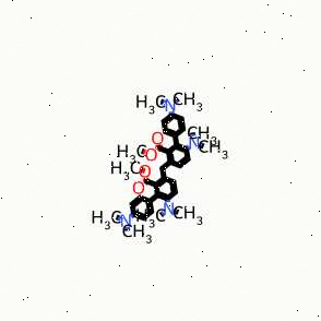 COC(=O)c1c(Cc2ccc(N(C)C)c(-c3ccc(N(C)C)cc3)c2C(=O)OC)ccc(N(C)C)c1-c1ccc(N(C)C)cc1